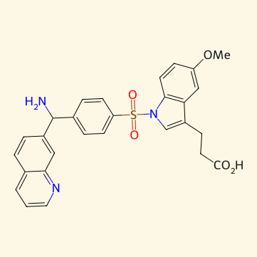 COc1ccc2c(c1)c(CCC(=O)O)cn2S(=O)(=O)c1ccc(C(N)c2ccc3cccnc3c2)cc1